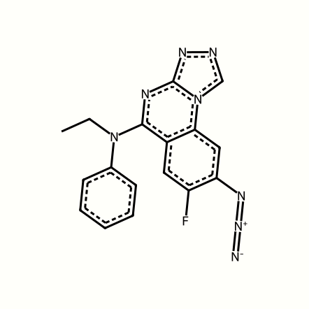 CCN(c1ccccc1)c1nc2nncn2c2cc(N=[N+]=[N-])c(F)cc12